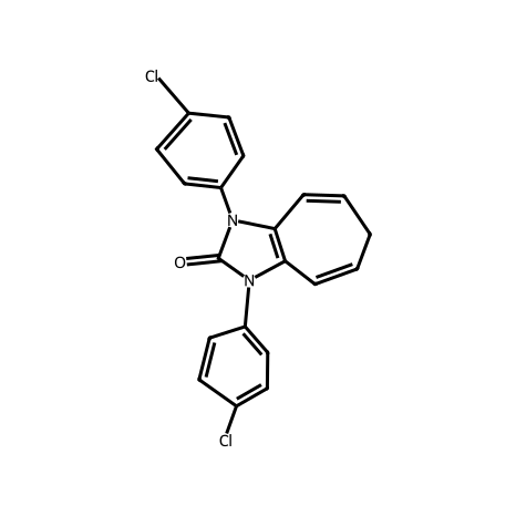 O=c1n(-c2ccc(Cl)cc2)c2c(n1-c1ccc(Cl)cc1)C=CCC=C2